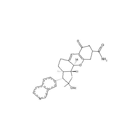 CC(=O)OC1(C)C[C@H]2[C@@H]3OC4=C(C=C3CC[C@]2(C)[C@H]1c1ccc2ccncc2c1)C(=O)CC(C(N)=O)C4